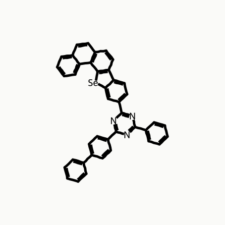 c1ccc(-c2ccc(-c3nc(-c4ccccc4)nc(-c4ccc5c(c4)[se]c4c5ccc5ccc6ccccc6c54)n3)cc2)cc1